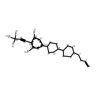 C=CCCC1CCC(C2CCC(c3cc(F)c(C#CC(F)(F)F)c(F)c3)CC2)CC1